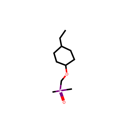 CCC1CCC(OCP(C)(C)=O)CC1